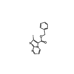 O=C(OCc1ccccc1)c1c(I)nc2ncccn12